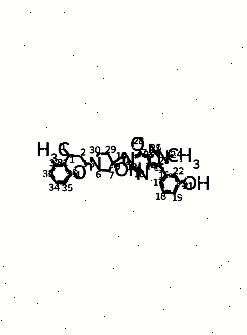 CC(CC(=O)N1CCC(O)(Cn2cnc3c(-c4cccc(O)c4)n(C)nc3c2=O)CC1)c1ccccc1